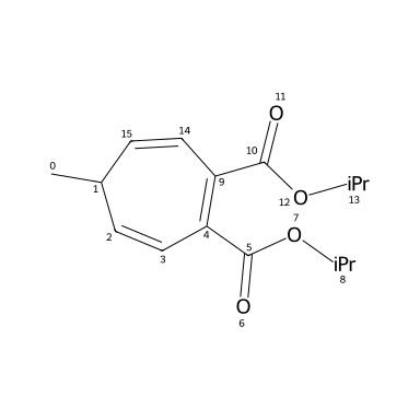 CC1C=CC(C(=O)OC(C)C)=C(C(=O)OC(C)C)C=C1